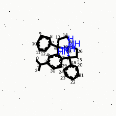 CC(C)c1[c]c(C2(c3ccccc3)CCNN2)c(C2(c3ccccc3)CCNN2)cc1